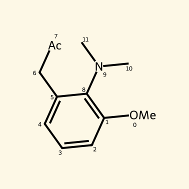 COc1cccc(CC(C)=O)c1N(C)C